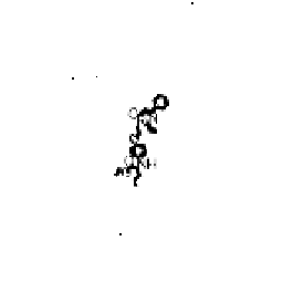 CCCC(Nc1ccc(OCCn2c(CC)nc(-c3ccccc3)cc2=O)cc1)C(=O)OCC